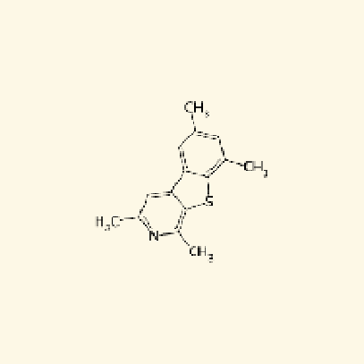 Cc1cc(C)c2sc3c(C)nc(C)cc3c2c1